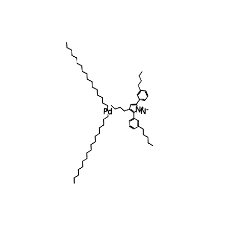 CCCCCCCCCCCCCCCC[CH2][Pd][CH2]CCCCCCCCCCCCCCCC.CCCCCc1cccc(C2=C(CCCC)C=C(c3cccc(CCCC)c3)[N+]2=[N-])c1